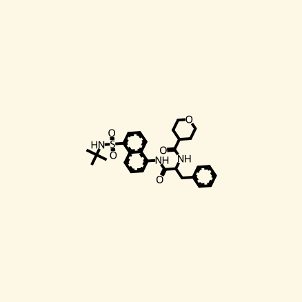 CC(C)(C)NS(=O)(=O)c1cccc2c(NC(=O)C(Cc3ccccc3)NC(=O)C3CCOCC3)cccc12